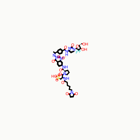 C/C(=N/NC(=O)c1ccc(NC(=O)[C@H]2CCCN2C(=O)C(CS(=O)(=O)O)NC(=O)CCCCCN2C(=O)C=CC2=O)cc1[N+](=O)[O-])c1ccc(C(=O)Nc2ccn([C@@H]3O[C@H](CO)[C@@H](O)C3(F)F)c(=O)n2)cc1